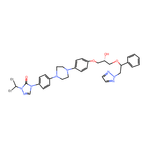 CCC(CC)n1ncn(-c2ccc(N3CCN(c4ccc(OC[C@H](O)COC(Cn5nccn5)c5ccccc5)cc4)CC3)cc2)c1=O